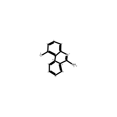 Nc1nc2cccc(Cl)c2c2ccccc12